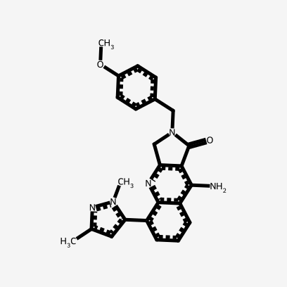 COc1ccc(CN2Cc3nc4c(-c5cc(C)nn5C)cccc4c(N)c3C2=O)cc1